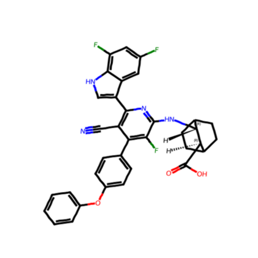 N#Cc1c(-c2c[nH]c3c(F)cc(F)cc23)nc(N[C@@H]2C3CCC(CC3)[C@H]2C(=O)O)c(F)c1-c1ccc(Oc2ccccc2)cc1